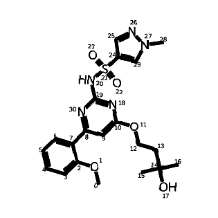 COc1ccccc1-c1cc(OCCC(C)(C)O)nc(NS(=O)(=O)c2cnn(C)c2)n1